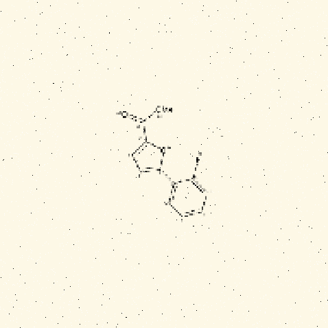 CCc1ccccc1-c1ccc(C(=O)OC)o1